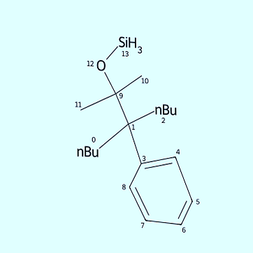 CCCCC(CCCC)(c1ccccc1)C(C)(C)O[SiH3]